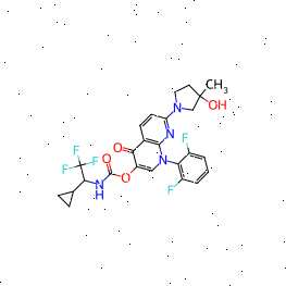 CC1(O)CCN(c2ccc3c(=O)c(OC(=O)NC(C4CC4)C(F)(F)F)cn(-c4c(F)cccc4F)c3n2)C1